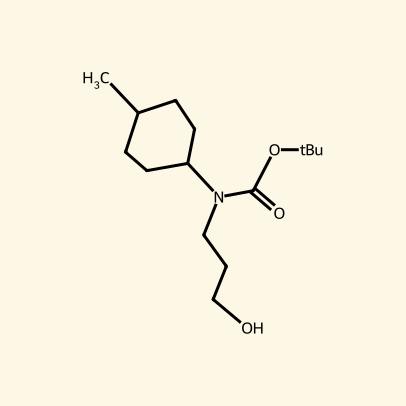 CC1CCC(N(CCCO)C(=O)OC(C)(C)C)CC1